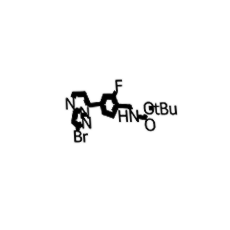 CC(C)(C)OC(=O)NCc1ccc(-c2ccnc3cc(Br)nn23)cc1F